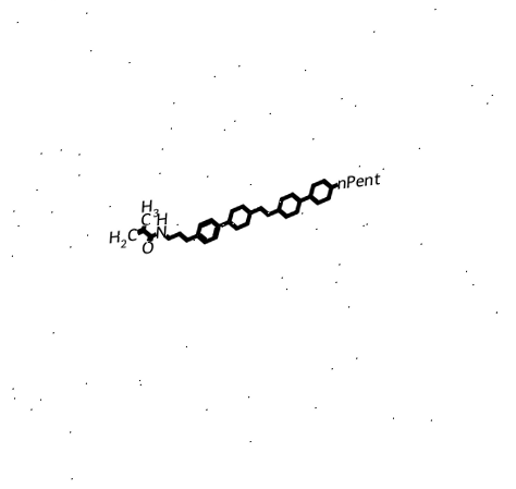 C=C(C)C(=O)NCCCc1ccc(C2CCC(CCC3CCC(C4CCC(CCCCC)CC4)CC3)CC2)cc1